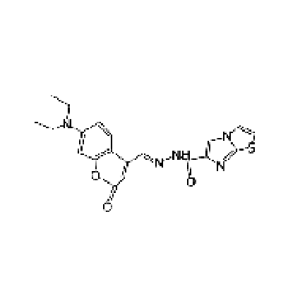 CCN(CC)c1ccc2c(/C=N/NC(=O)c3cn4ccsc4n3)cc(=O)oc2c1